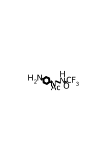 CC(=O)N(CCNC(=O)C(F)(F)F)c1ccc(N)cc1